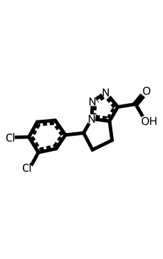 O=C(O)c1nnn2c1CCC2c1ccc(Cl)c(Cl)c1